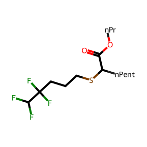 CCCCCC(SCCCC(F)(F)C(F)F)C(=O)OCCC